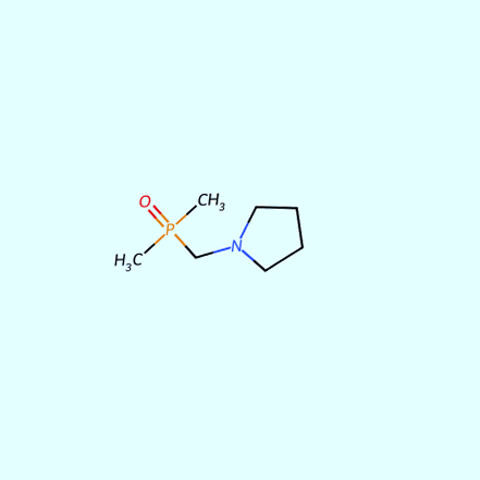 CP(C)(=O)CN1CCCC1